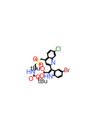 CC(C)(C)OC(=O)NCCS(=O)(=O)Cc1cc(-c2c(C(=O)OC(C)(C)C)[nH]c3ccc(Br)cc23)nc2cc(Cl)ccc12